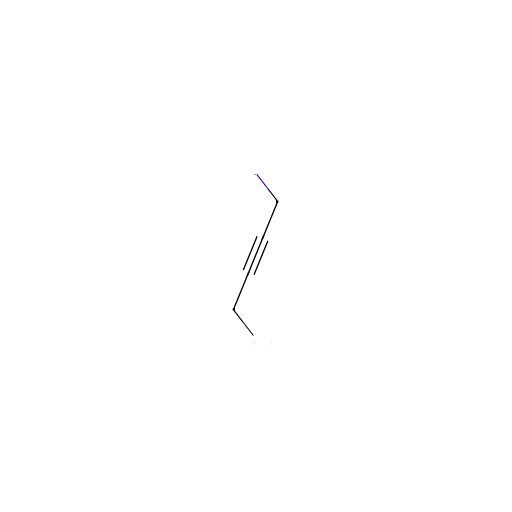 [CH2]CCCC#CCI